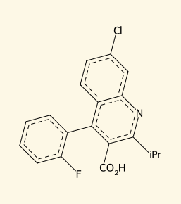 CC(C)c1nc2cc(Cl)ccc2c(-c2ccccc2F)c1C(=O)O